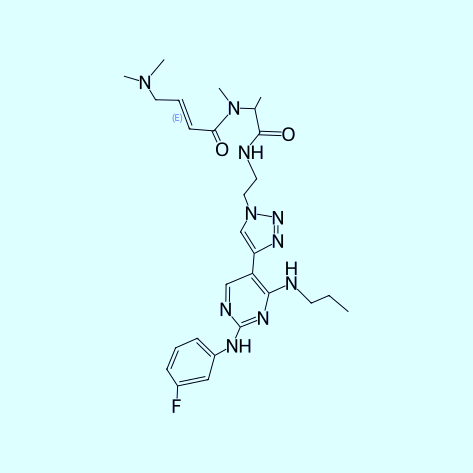 CCCNc1nc(Nc2cccc(F)c2)ncc1-c1cn(CCNC(=O)C(C)N(C)C(=O)/C=C/CN(C)C)nn1